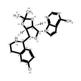 Cc1ncnc2c1ccn2[C@@H]1O[C@H]([C@@H]2NCCc3cc(Cl)ccc32)[C@H]2OC(C)(C)O[C@H]21